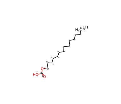 CCCCCCCCCCCCCCOC(=O)O.[LiH]